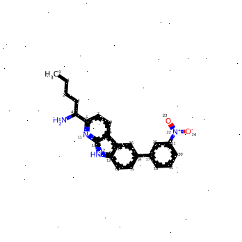 CCCCC(N)c1ccc2c(n1)[nH]c1ccc(-c3cccc([N+](=O)[O-])c3)cc12